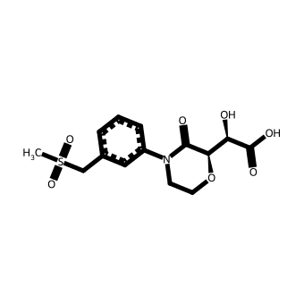 CS(=O)(=O)Cc1cccc(N2CCO[C@H]([C@@H](O)C(=O)O)C2=O)c1